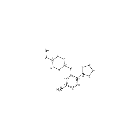 C[C](C)CN1CCN(Cc2cc(C)ccc2N2CCCC2)CC1